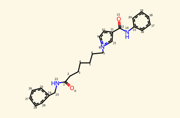 O=C(CCCCCCn1ccc(C(=O)Nc2ccccc2)c1)NCc1ccccc1